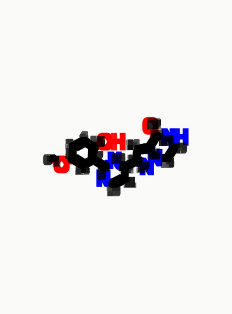 COc1ccc(O)c(-c2nccc(-c3cc4n(n3)CCNC4=O)n2)c1